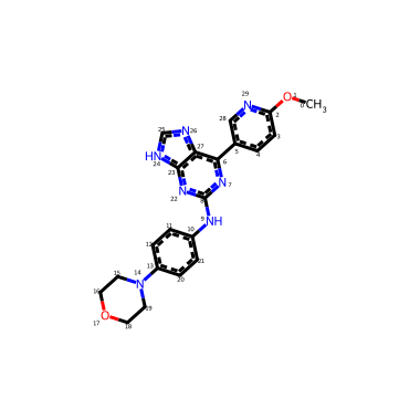 COc1ccc(-c2nc(Nc3ccc(N4CCOCC4)cc3)nc3[nH]cnc23)cn1